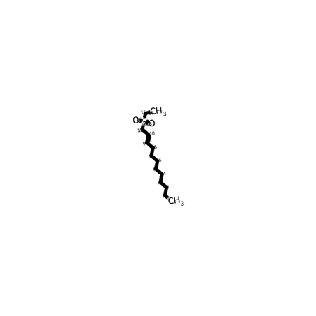 CCCCCCCCC/C=C/CS(=O)(=O)CC